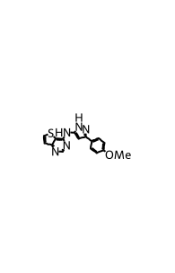 COc1ccc(-c2cc(Nc3ncnc4ccsc34)[nH]n2)cc1